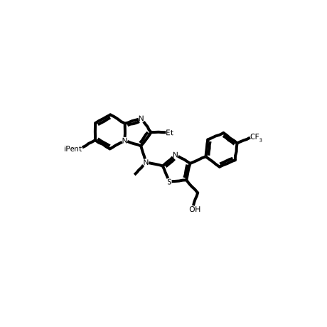 CCCC(C)c1ccc2nc(CC)c(N(C)c3nc(-c4ccc(C(F)(F)F)cc4)c(CO)s3)n2c1